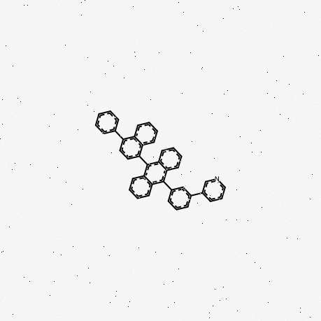 c1ccc(-c2ccc(-c3c4ccccc4c(-c4cccc(-c5cccnc5)c4)c4ccccc34)c3ccccc23)cc1